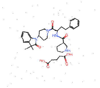 CC1(C)C(=O)N(C2CCN(C(=O)C(CCc3ccccc3)NC(=O)C3CCCNC3)CC2)c2ccccc21.O=C(O)CCCC(=O)O